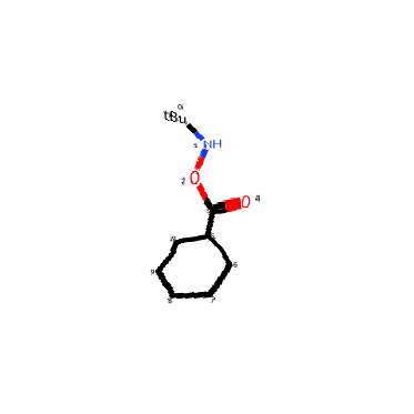 CC(C)(C)NOC(=O)C1CCCCC1